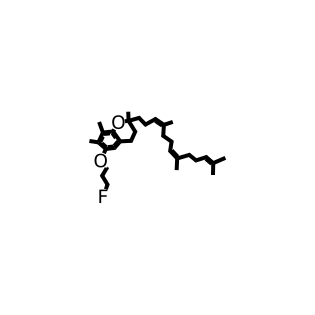 CC(C)=CCCC(C)=CCCC(C)=CCCC1(C)CCc2cc(OCCCF)c(C)c(C)c2O1